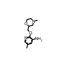 Cc1cnc(OCC2CN(C)CCO2)c(N)c1